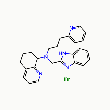 Br.c1ccc(CCCN(Cc2nc3ccccc3[nH]2)C2CCCc3cccnc32)nc1